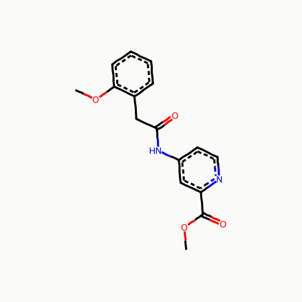 COC(=O)c1cc(NC(=O)Cc2ccccc2OC)ccn1